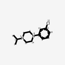 CC(C)N1CCN(c2cccc(Cl)c2)CC1